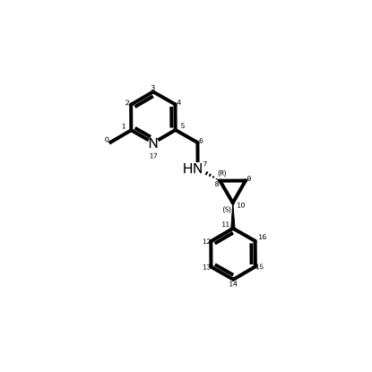 Cc1cccc(CN[C@@H]2C[C@H]2c2ccccc2)n1